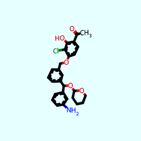 CC(=O)c1ccc(OCc2cccc(C(OC3CCCCO3)c3cccc(N)c3)c2)c(Cl)c1O